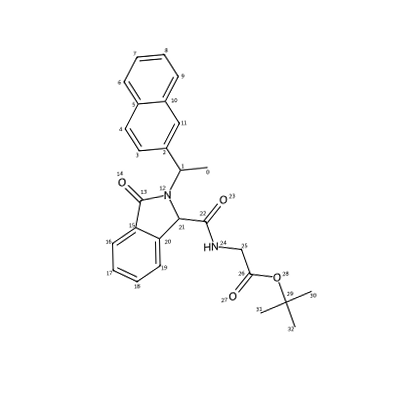 CC(c1ccc2ccccc2c1)N1C(=O)c2ccccc2C1C(=O)NCC(=O)OC(C)(C)C